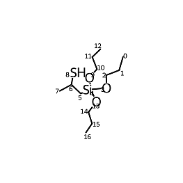 CCCO[Si](CC(C)S)(OCCC)OCCC